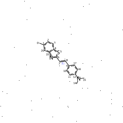 Cc1ccc2sc(/C=C/c3ccc(N(C)C)cc3)nc2c1